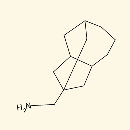 NCC12CC3CCCC(C1)C(C3)C2